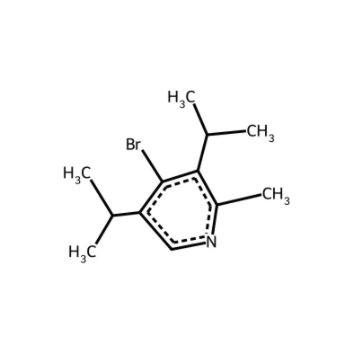 Cc1ncc(C(C)C)c(Br)c1C(C)C